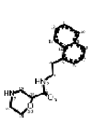 O=C(NCCc1cccc2ccccc12)C1CNCCO1